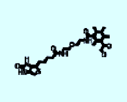 Cc1c(C)c(C(=O)C=O)c(C)c(C(=O)NCCOCCNC(=O)CCCCC2SCC3NC(=O)NC32)c1C